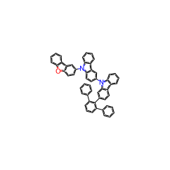 c1ccc(-c2cccc(-c3ccccc3)c2-c2ccc3c4ccccc4n(-c4ccc5c(c4)c4ccccc4n5-c4ccc5oc6ccccc6c5c4)c3c2)cc1